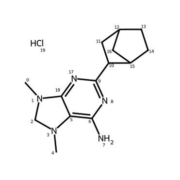 CN1CN(C)c2c(N)nc(C3CC4CCC3C4)nc21.Cl